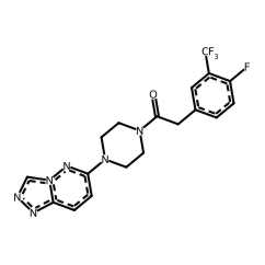 O=C(Cc1ccc(F)c(C(F)(F)F)c1)N1CCN(c2ccc3nncn3n2)CC1